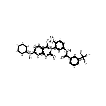 Cc1ccc(NC(=O)c2cccc(C(F)(F)F)c2)cc1-n1c(C)c2cnc(NC3CCCCC3)nc2nc1=O